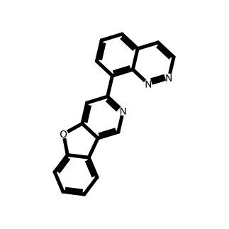 c1cc(-c2cc3oc4ccccc4c3cn2)c2nnccc2c1